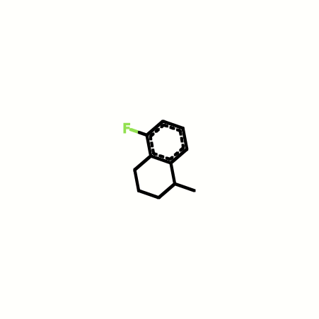 CC1CCCc2c(F)cccc21